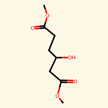 COC(=O)CCC(O)CC(=O)OC